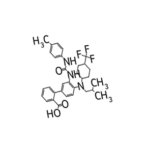 Cc1ccc(NC(=O)Nc2cc(-c3ccccc3C(=O)O)ccc2N(CC(C)C)C2CCC(C(F)(F)F)CC2)cc1